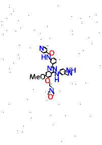 COc1cc2nc(-c3cccc(NC(=O)c4ccncc4)c3)nc(Nc3ccc4[nH]ncc4c3)c2cc1OCCCN1CCOCC1